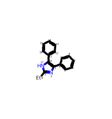 [CH2]Cc1nc(-c2ccccc2)c(-c2ccccc2)[nH]1